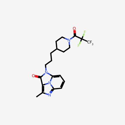 Cc1nc2cccc3n(CCCC4CCN(C(=O)C(F)(F)C(F)(F)F)CC4)c(=O)c1n23